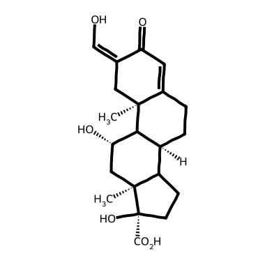 C[C@]12C/C(=C/O)C(=O)C=C1CC[C@@H]1C2[C@@H](O)C[C@@]2(C)C1CC[C@]2(O)C(=O)O